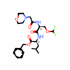 CC(C)C[C@H](NC(=O)[C@H](COC(F)F)NC(=O)CN1CCOCC1)C(=O)OCc1ccccc1